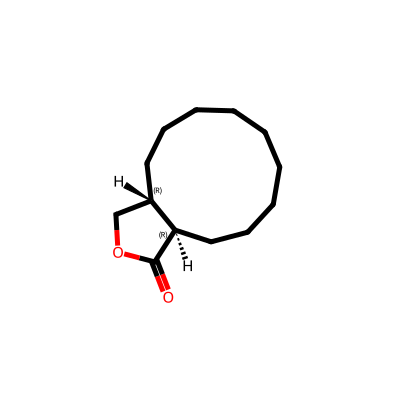 O=C1OC[C@@H]2CCCCCCCCC[C@@H]12